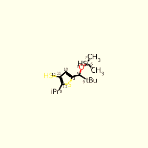 CC(C)c1sc(C(O[SiH](C)C)C(C)(C)C)cc1S